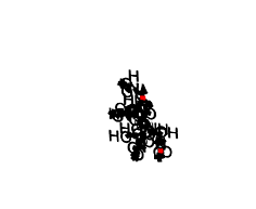 C[C@@H]([C@@H](O)[C@H](OCCO)O[C@@H]1[C@@H](O)[C@H](O[C@H]2OC(CNCC3(CNC(=O)OC(C)(C)C)CC3)=CC[C@H]2NC(=O)OC(C)(C)C)[C@@H](NC(=O)OC(C)(C)C)C[C@H]1NC(=O)C(O)C1CN(C(=O)OC(C)(C)C)C1)N(C)C(=O)OC(C)(C)C